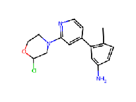 Cc1ccc(N)cc1-c1ccnc(N2CCOC(Cl)C2)c1